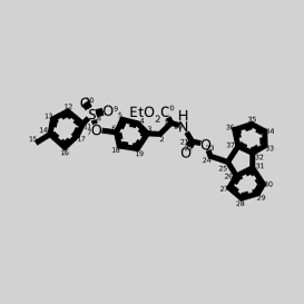 CCOC(=O)C(Cc1ccc(OS(=O)(=O)c2ccc(C)cc2)cc1)NC(=O)OCC1c2ccccc2-c2ccccc21